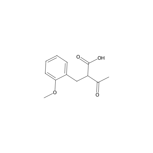 COc1ccccc1CC(C(C)=O)C(=O)O